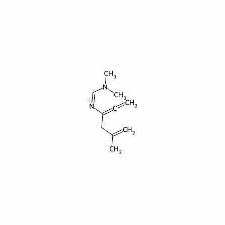 C=C=C(CC(=C)C)/N=C\N(C)C